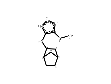 CCCSc1nsnc1OC1CC2CCC1C2